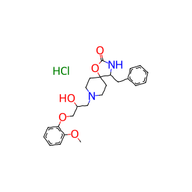 COc1ccccc1OCC(O)CN1CCC2(CC1)OC(=O)NC2Cc1ccccc1.Cl